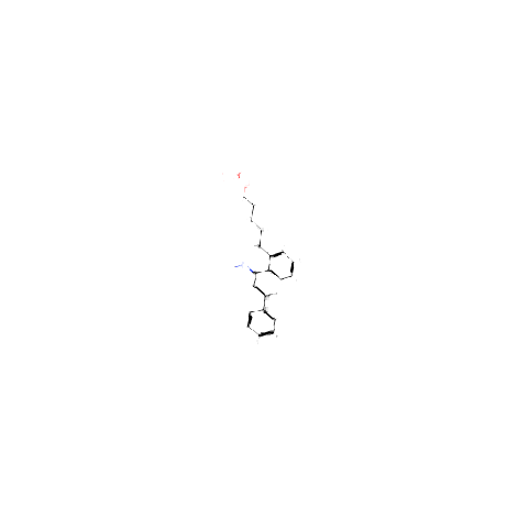 C/N=C(\C=C(/C)c1ccccc1)c1ccccc1CCCCCOO